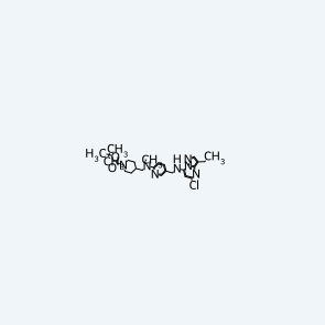 CCc1cnn2c(NCc3ccc(N(C)CC4CCN(C(=O)OC(C)(C)C)CC4)nc3)cc(Cl)nc12